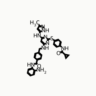 Cc1cc(Nc2cc(NCc3ccc(C(=O)Nc4ccccc4N)cc3)nc(Sc3ccc(NC(=O)C4CC4)cc3)n2)[nH]n1